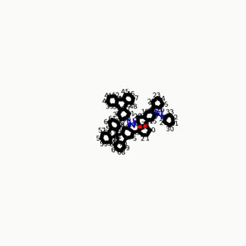 c1ccc(-c2cc3c(cc2N(c2ccc4cc5c(cc4c2)c2ccccc2n5-c2ccccc2)c2ccc4c5ccccc5c5ccccc5c4c2)C2(c4ccccc4-c4ccccc42)c2ccccc2-3)cc1